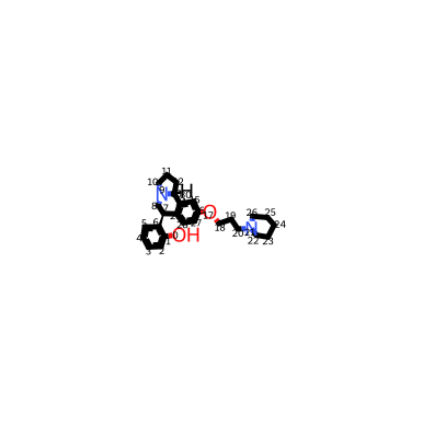 Oc1ccccc1[C@H]1CN2CCC[C@@H]2c2cc(OCCCN3CCCCC3)ccc21